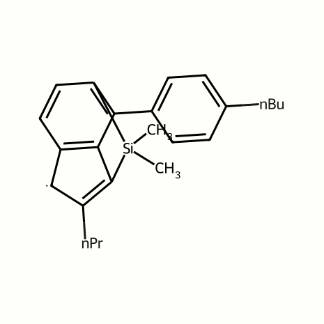 CCCCc1ccc(-c2c3ccc4c2C(=C(CCC)[CH]4)[Si]3(C)C)cc1